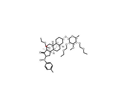 CCOCO[C@@H]1[C@H](O[C@H]2CC[C@@]3(C)[C@H](CC[C@@H]4[C@@H]3CC[C@]3(C)C(=O)C([S+]([O-])c5ccc(C)cc5)C[C@]43OCOCC)C2)O[C@@H](C)[C@H](OCOCC)[C@H]1OC